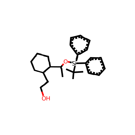 CC(O[Si](c1ccccc1)(c1ccccc1)C(C)(C)C)C1CCCCC1CCO